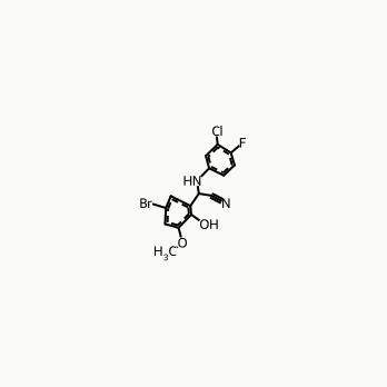 COc1cc(Br)cc(C(C#N)Nc2ccc(F)c(Cl)c2)c1O